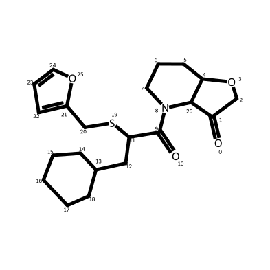 O=C1COC2CCCN(C(=O)C(CC3CCCCC3)SCc3ccco3)C12